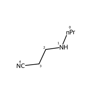 [CH2]CCNCCC#N